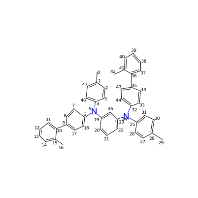 Cc1ccc(N(c2ccc(-c3ccccc3C)cc2)c2cccc(N(c3ccc(C)cc3)c3ccc(-c4ccccc4C)cc3)c2)cc1